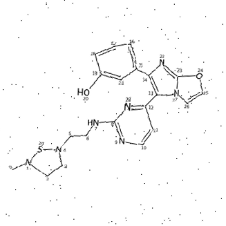 CN1CCN(CCNc2nccc(-c3c(-c4cccc(O)c4)nc4occn34)n2)S1